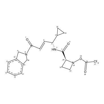 O=C(N[C@H](/C=C/C(=O)N1Cc2ccccc2C1)C1CC1)[C@@H]1CCN1OC(=O)C(F)(F)F